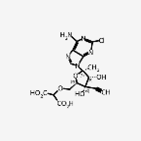 C#C[C@]1(O)[C@@H](O)[C@](C)(n2cnc3c(N)nc(Cl)nc32)O[C@@H]1COC(C(=O)O)C(=O)O